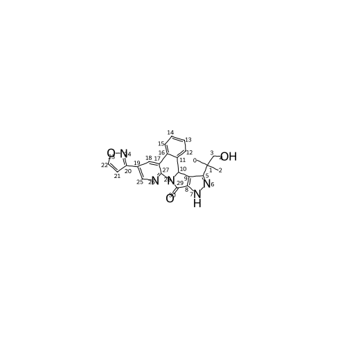 CC(C)(CO)c1n[nH]c2c1C1c3ccccc3-c3cc(-c4ccon4)cnc3N1C2=O